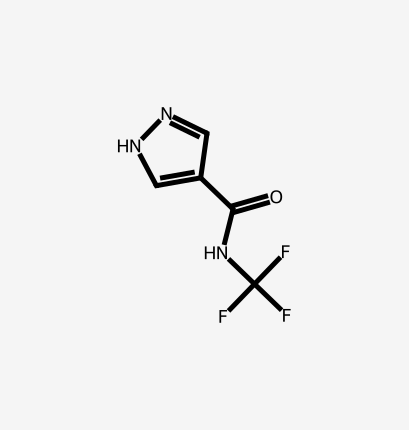 O=C(NC(F)(F)F)c1cn[nH]c1